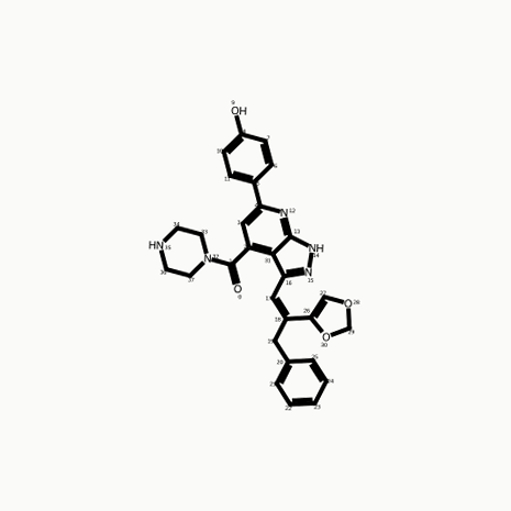 O=C(c1cc(-c2ccc(O)cc2)nc2[nH]nc(C=C(Cc3ccccc3)C3=COCO3)c12)N1CCNCC1